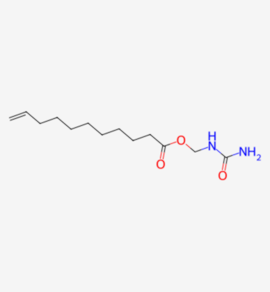 C=CCCCCCCCCC(=O)OCNC(N)=O